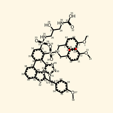 COc1ccc(CN(Cc2ccc(OC)cc2)S(=O)(=O)c2c(S(=O)(=O)NCC(O)CNC(=O)O)ccc(-c3cccc4sc(N)nc34)c2-c2nnn(Cc3ccc(OC)cc3)n2)cc1